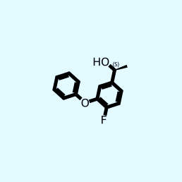 C[C@H](O)c1ccc(F)c(Oc2ccccc2)c1